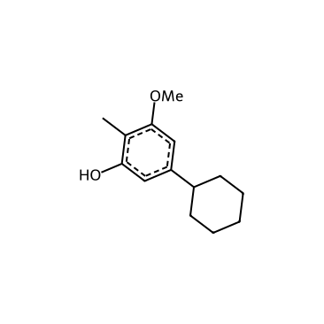 COc1cc(C2CCCCC2)cc(O)c1C